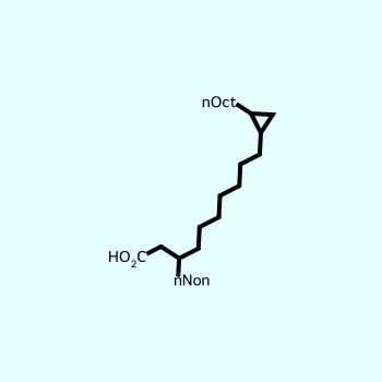 CCCCCCCCCC(CCCCCCCC1CC1CCCCCCCC)CC(=O)O